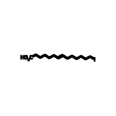 O=C(O)CCCCCC=CCCCCCCI